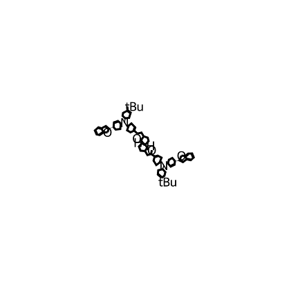 CC(C)(C)C1=CC[C@@H](N([C@H]2CC=C(C3CC4CCC5=C(CCC6CC(C7=CC[C@H](N([C@@H]8CC=C(C(C)(C)C)CC8)[C@H]8C=C[C@@H](c9cc%10ccccc%10o9)CC8)CC7)O[C@H]56)[C@H]4O3)CC2)[C@H]2C=C[C@@H](c3cc4ccccc4o3)CC2)CC1